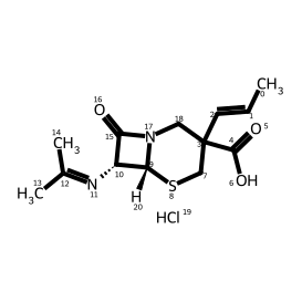 CC=CC1(C(=O)O)CS[C@@H]2[C@H](N=C(C)C)C(=O)N2C1.Cl